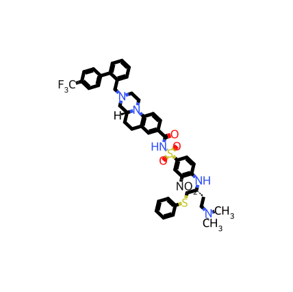 CN(C)CC[C@H](CSc1ccccc1)Nc1ccc(S(=O)(=O)NC(=O)c2ccc3c(c2)CC[C@@H]2CN(Cc4ccccc4-c4ccc(C(F)(F)F)cc4)CCN32)cc1[N+](=O)[O-]